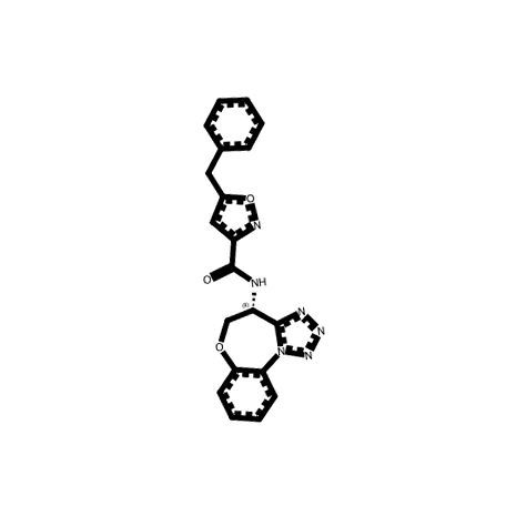 O=C(N[C@H]1COc2ccccc2-n2nnnc21)c1cc(Cc2ccccc2)on1